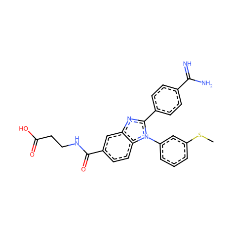 CSc1cccc(-n2c(-c3ccc(C(=N)N)cc3)nc3cc(C(=O)NCCC(=O)O)ccc32)c1